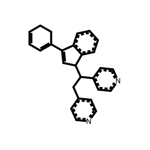 C1=CCCC(C2=CC(C(Cc3ccncc3)c3ccncc3)c3ccccc32)=C1